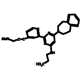 CNCCCc1ccnc(-c2nc(NCCC(=O)O)cc(N3CCc4ccccc4CC3)n2)c1